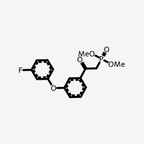 COP(=O)(CC(=O)c1cccc(Oc2cccc(F)c2)c1)OC